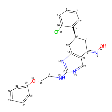 O/N=C1\C[C@H](c2ccccc2Cl)Cc2nc(NCCOc3ccccc3)ncc21